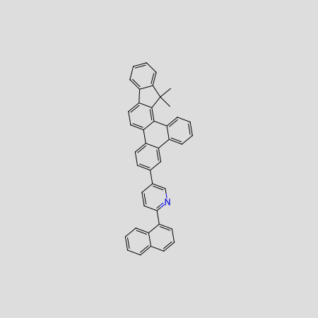 CC1(C)c2ccccc2-c2ccc3c4ccc(-c5ccc(-c6cccc7ccccc67)nc5)cc4c4ccccc4c3c21